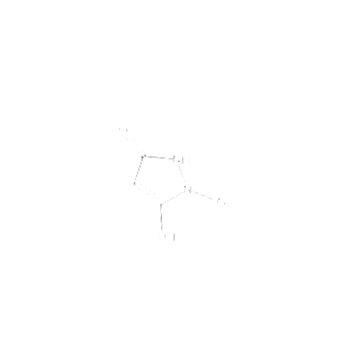 CC(=O)n1[nH]c(=O)cc1O